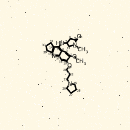 COc1cc2c(NC3CC(=O)N(C)C3)c3c(nc2cc1OCCCN1CCCC1)CCC3